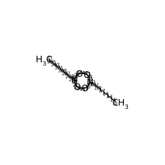 CCCCCCCCCCCCCCN1CCOCCOCCN(CCCCCCCCCCCCCC)CCOCCOCC1